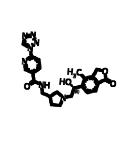 Cc1c([C@@H](O)CN2CCC(CNC(=O)c3ccc(-n4cnnn4)nc3)C2)ccc2c1COC2=O